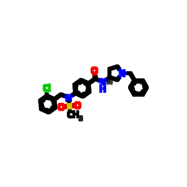 CS(=O)(=O)N(Cc1ccccc1Cl)c1ccc(C(=O)N[C@H]2CCN(Cc3ccccc3)C2)cc1